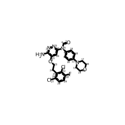 Nc1nnc(N(C=O)c2ccc(N3CCOCC3)cc2)cc1OCCc1c(Cl)ccc(F)c1Cl